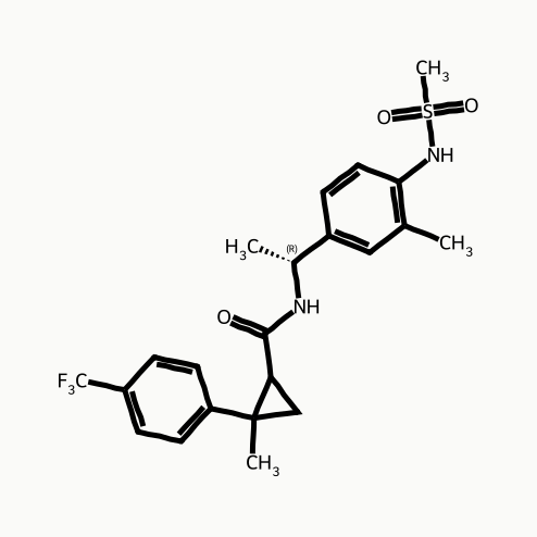 Cc1cc([C@@H](C)NC(=O)C2CC2(C)c2ccc(C(F)(F)F)cc2)ccc1NS(C)(=O)=O